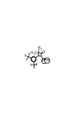 CC1(C)C(=O)N(C2C3CC4CC(C3)CC2C4)C1c1cc(C(F)(F)F)cc(C(F)(F)F)c1